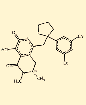 CCc1cc(C#N)cc(C2(Cc3nc(=O)c(O)c4n3C[C@H](C)N(C)C4=O)CCCC2)c1